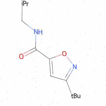 CC(C)CNC(=O)c1cc(C(C)(C)C)no1